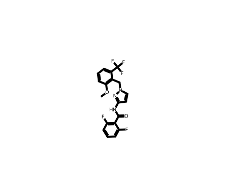 COc1cccc(C(F)(F)F)c1Cn1ccc(NC(=O)c2c(F)cccc2F)n1